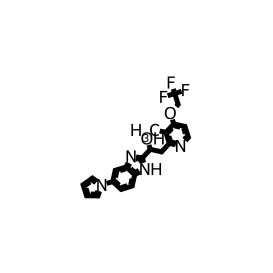 Cc1c(OCC(F)(F)F)ccnc1CC(O)c1nc2cc(-n3cccc3)ccc2[nH]1